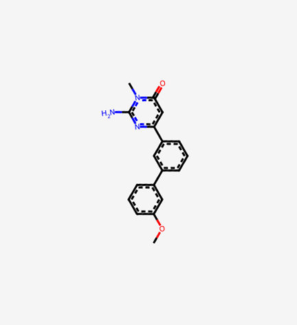 COc1cccc(-c2cccc(-c3cc(=O)n(C)c(N)n3)c2)c1